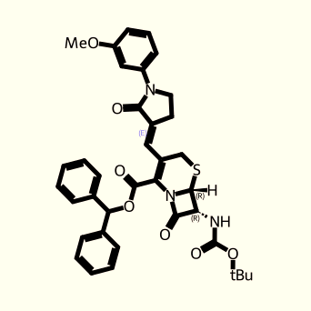 COc1cccc(N2CC/C(=C\C3=C(C(=O)OC(c4ccccc4)c4ccccc4)N4C(=O)[C@@H](NC(=O)OC(C)(C)C)[C@H]4SC3)C2=O)c1